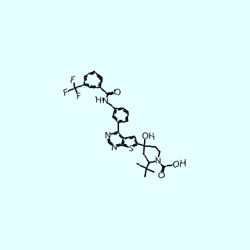 CC(C)(C)C1CC(O)(c2cc3c(-c4cccc(NC(=O)c5cccc(C(F)(F)F)c5)c4)ncnc3s2)CCN1C(=O)O